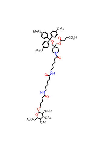 COc1ccc(C(OCC2(COC(=O)CCC(=O)O)CCN(C(=O)CCCCCNC(=O)CCCCCNC(=O)CCCCOC3OC(COC(C)=O)C(OC(C)=O)C(OC(C)=O)C3NC(C)=O)CC2)(c2ccc(OC)cc2)c2ccc(OC)cc2)cc1